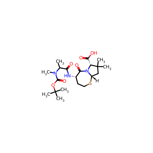 CC(C(=O)N[C@H]1CCS[C@H]2CC(C)(C)[C@@H](C(=O)O)N2C1=O)N(C)C(=O)OC(C)(C)C